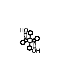 Oc1cccc(C2c3[nH]c4ccccc4c3C(c3cccc(O)c3)c3[nH]c4ccccc4c32)c1